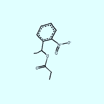 CCC(=O)OC(C)c1ccccc1[N+](=O)[O-]